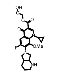 COc1c(N2CC3CCCNC3C2)c(F)cc2c(=O)c(C(=O)OCOO)cn(C3CC3)c12